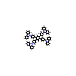 Cc1c(-c2ccc(-n3c4ccccc4c4ccccc43)cc2)c(-c2ccc(-n3c4ccccc4c4ccccc43)cc2)c(C)c(-c2ccc(-n3c4ccccc4c4ccccc43)cc2)c1-c1ccc(-n2c3ccccc3c3ccccc32)cc1